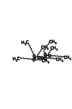 CCCCCCCCCCOC(CCCCC)=C(OCCCCCCCCCC)C(CCCCCCC)OCOCOC(CCCCCCC)C(OCCCCCCCCCC)=C(CCCCC)OCCCCCCCCCC